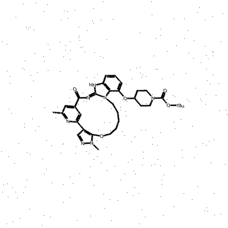 Cc1cc2cc(n1)-c1cnn(C)c1OCCCCCN1/C(=N/C2=O)Nc2cccc(OC3CCN(C(=O)OC(C)(C)C)CC3)c21